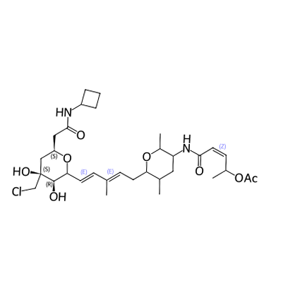 CC(=O)OC(C)/C=C\C(=O)NC1CC(C)C(C/C=C(C)/C=C/C2O[C@H](CC(=O)NC3CCC3)C[C@@](O)(CCl)[C@@H]2O)OC1C